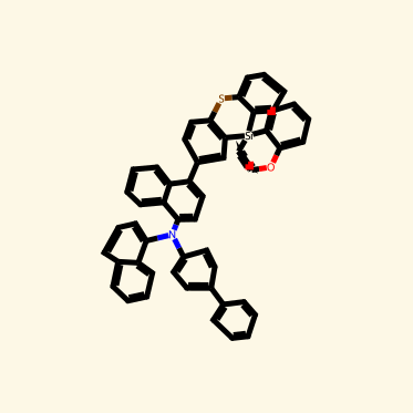 c1ccc(-c2ccc(N(c3cccc4ccccc34)c3ccc(-c4ccc5c(c4)[Si]4(c6ccccc6Oc6ccccc64)c4ccccc4S5)c4ccccc34)cc2)cc1